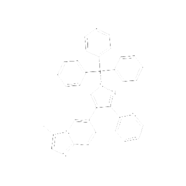 Ic1cnc2ccc(-c3cn(C(c4ccccc4)(c4ccccc4)c4ccccc4)nc3-c3ccccn3)cn12